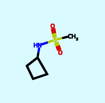 CS(=O)(=O)N[C]1CCC1